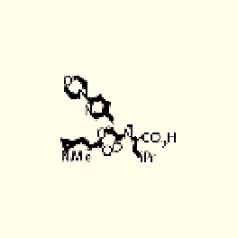 CN[C@@H](CC1CC1)C(=O)O[C@H](Cc1ccc(N2CCOCC2)nc1)C(=O)N(C)[C@@H](CC(C)C)C(=O)O